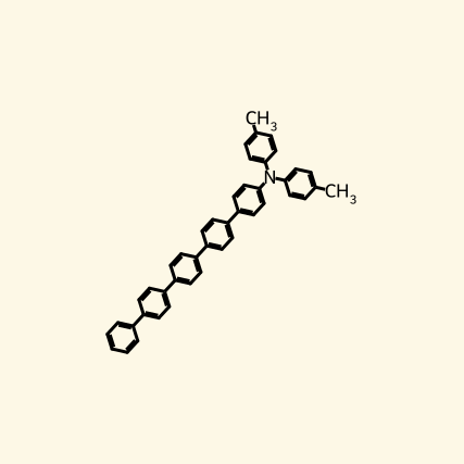 Cc1ccc(N(c2ccc(C)cc2)c2ccc(-c3ccc(-c4ccc(-c5ccc(-c6ccccc6)cc5)cc4)cc3)cc2)cc1